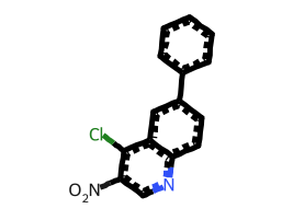 O=[N+]([O-])c1cnc2ccc(-c3ccccc3)cc2c1Cl